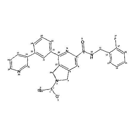 CC(C)(C)[S+]([O-])N1Cc2cc(C(=O)NCc3ccccc3F)nc(-c3cccc(-c4cccnc4)c3)c2C1